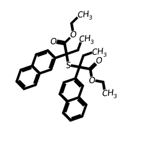 CCOC(=O)C(CC)(SC(CC)(C(=O)OCC)c1ccc2ccccc2c1)c1ccc2ccccc2c1